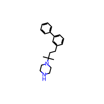 CC(C)(CCc1cccc(-c2ccccc2)c1)N1CCNCC1